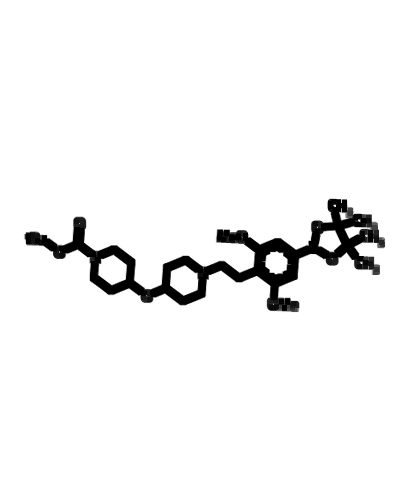 COc1cc(B2OC(C)(C)C(C)(C)O2)cc(OC)c1CCN1CCC(OC2CCN(C(=O)OC(C)(C)C)CC2)CC1